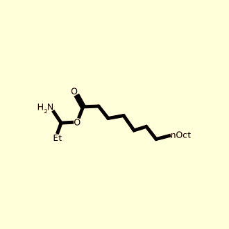 CCCCCCCCCCCCCCC(=O)OC(N)CC